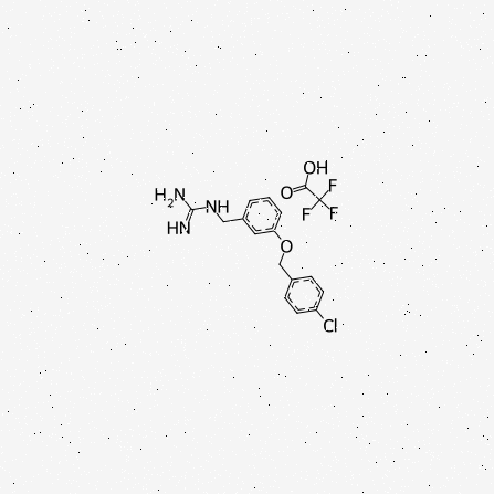 N=C(N)NCc1cccc(OCc2ccc(Cl)cc2)c1.O=C(O)C(F)(F)F